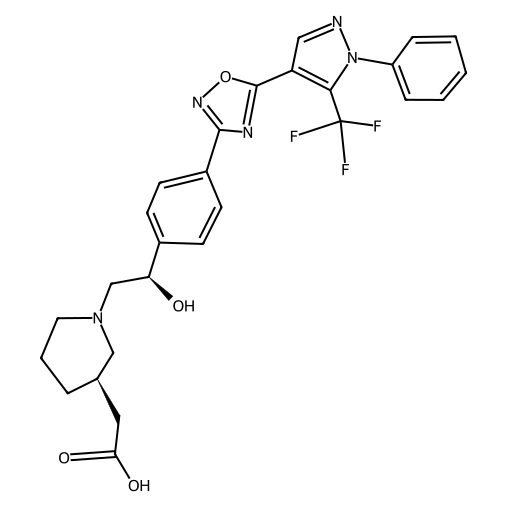 O=C(O)C[C@H]1CCCN(C[C@H](O)c2ccc(-c3noc(-c4cnn(-c5ccccc5)c4C(F)(F)F)n3)cc2)C1